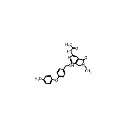 CCN1Cc2c(cc(NC(C)=O)nc2NCc2ccc(Oc3ccc(C)cc3)cc2)C1=O